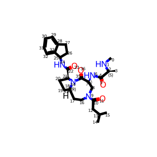 CN[C@@H](C)C(=O)N[C@H]1CN(C(=O)CC(C)C)CC[C@H]2CC[C@@H](C(=O)NC3CCc4ccccc43)N2C1=O